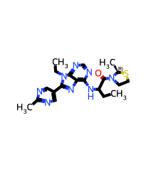 CCC(Nc1ncnc2c1nc(-c1cnc(C)nc1)n2CC)C(=O)N1CCS[C@@H]1C